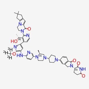 [2H]C([2H])([2H])Oc1ncc(-c2ccnc(N3CCn4c(cc5c4CC(C)(C)C5)C3=O)c2[C@@H](C)O)cc1Nc1ccc(N2CCN(C3CCN(c4ccc5c(c4)CN([C@H]4CCC(=O)NC4=O)C5=O)CC3)C[C@@H]2C)cn1